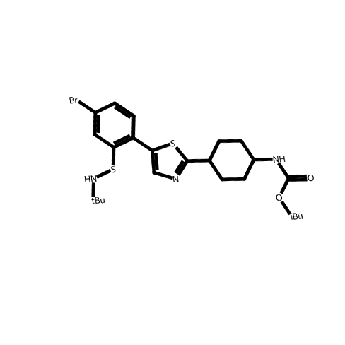 CCC(C)OC(=O)NC1CCC(c2ncc(-c3ccc(Br)cc3SNC(C)(C)C)s2)CC1